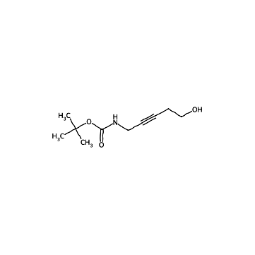 CC(C)(C)OC(=O)NCC#CCCO